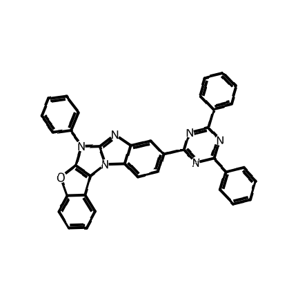 c1ccc(-c2nc(-c3ccccc3)nc(-c3ccc4c(c3)nc3n(-c5ccccc5)c5oc6ccccc6c5n43)n2)cc1